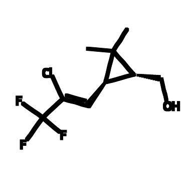 CC1(C)[C@H](/C=C(\Cl)C(F)(F)F)[C@H]1CO